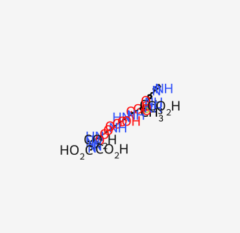 Cc1cc(OCCCC(=O)NCCNC(O)COCCOCCNC(=O)COCCOCCNC(=O)CN2CCN(CC(=O)O)CCN(CC(=O)O)CCN(CC(=O)O)CC2)cc(C)c1S(=O)(=O)NC(CNC(=O)c1ccc(CCc2ccc3c(n2)NCCC3)cc1)C(=O)O